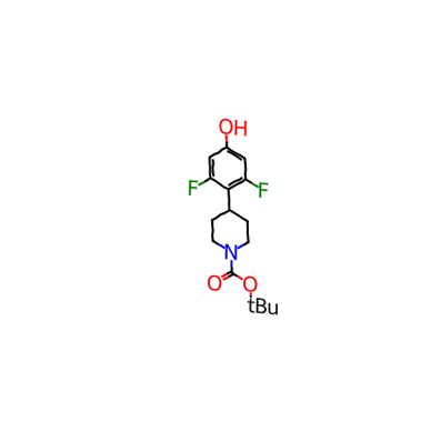 CC(C)(C)OC(=O)N1CCC(c2c(F)cc(O)cc2F)CC1